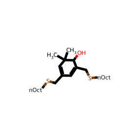 CCCCCCCCSCC1=CC(C)(C)C(O)C(CSCCCCCCCC)=C1